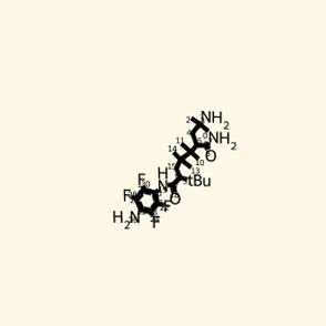 CC(C)(N)CC(C(N)=O)C(C)(C)C(C)(C)CC(C(=O)Nc1c(F)c(F)c(N)c(F)c1F)C(C)(C)C